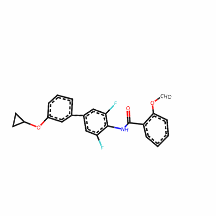 O=COc1ccccc1C(=O)Nc1c(F)cc(-c2cccc(OC3CC3)c2)cc1F